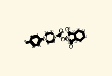 Cc1ccc(N2CCN(C(=O)ON3C(=O)C4CCCCC4C3=O)CC2)cc1